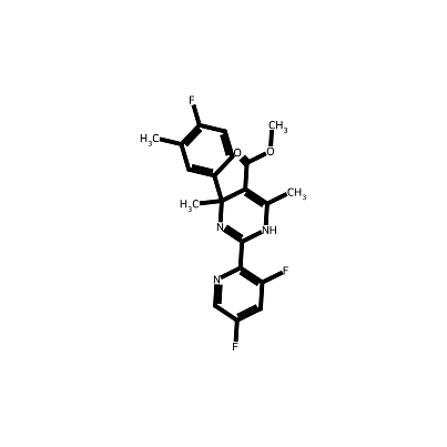 COC(=O)C1=C(C)NC(c2ncc(F)cc2F)=NC1(C)c1ccc(F)c(C)c1